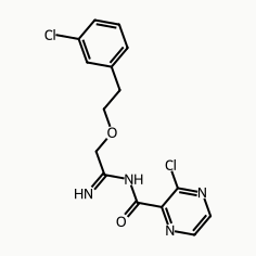 N=C(COCCc1cccc(Cl)c1)NC(=O)c1nccnc1Cl